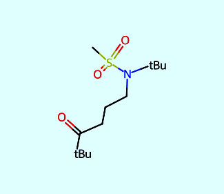 CC(C)(C)C(=O)CCCN(C(C)(C)C)S(C)(=O)=O